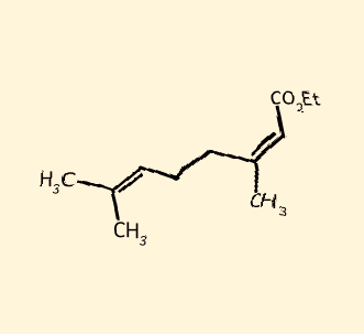 CCOC(=O)C=C(C)CCC=C(C)C